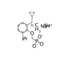 CC(C)c1cccc([C@@H](C)C2CC2)c1OCP(=O)([O-])[O-].[Na+].[Na+]